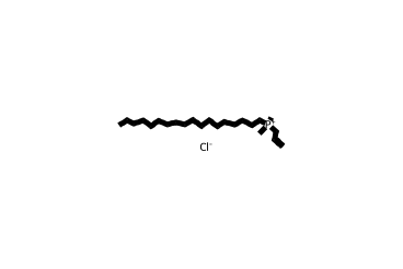 C=CC[P+](C)(C)CCCCCCCCCCCCCCCCCC.[Cl-]